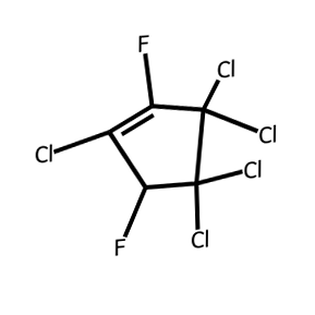 FC1=C(Cl)C(F)C(Cl)(Cl)C1(Cl)Cl